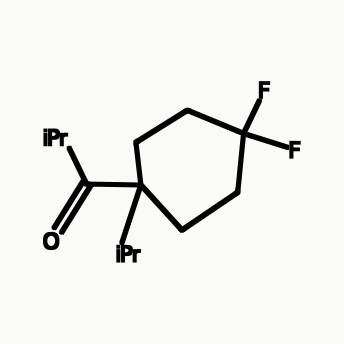 CC(C)C(=O)C1(C(C)C)CCC(F)(F)CC1